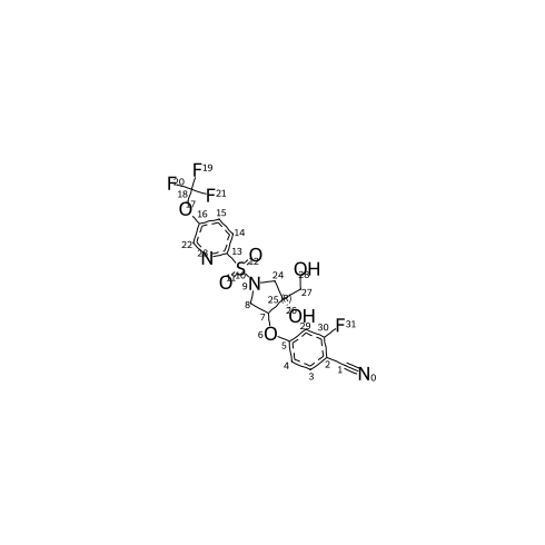 N#Cc1ccc(OC2CN(S(=O)(=O)c3ccc(OC(F)(F)F)cn3)C[C@@]2(O)CO)cc1F